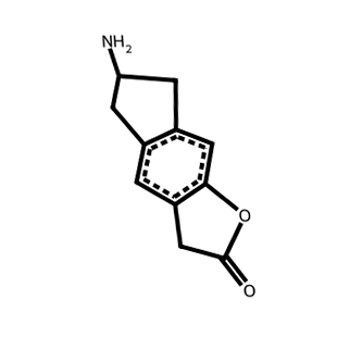 NC1Cc2cc3c(cc2C1)OC(=O)C3